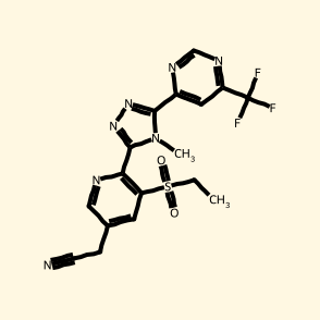 CCS(=O)(=O)c1cc(CC#N)cnc1-c1nnc(-c2cc(C(F)(F)F)ncn2)n1C